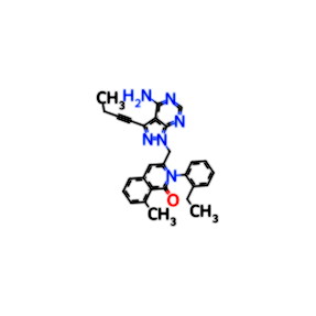 CCC#Cc1nn(Cc2cc3cccc(C)c3c(=O)n2-c2ccccc2CC)c2ncnc(N)c12